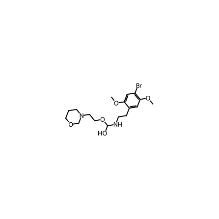 COc1cc(CCNC(O)OCCN2CCCOC2)c(OC)cc1Br